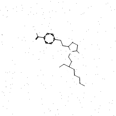 CCCCC[C@@](O)(CC)CCN1C(O)CCC1CCc1ccc(C(=O)O)cc1